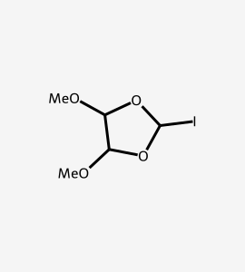 COC1OC(I)OC1OC